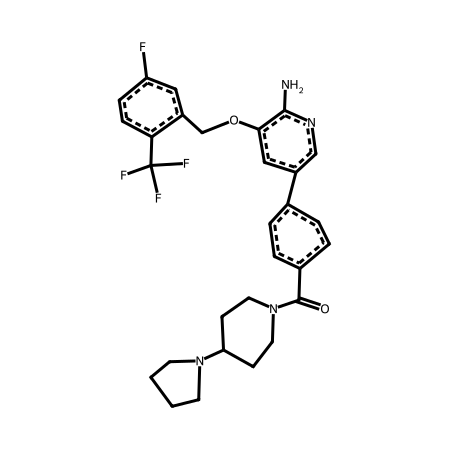 Nc1ncc(-c2ccc(C(=O)N3CCC(N4CCCC4)CC3)cc2)cc1OCc1cc(F)ccc1C(F)(F)F